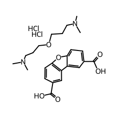 CN(C)CCCOCCCN(C)C.Cl.Cl.O=C(O)c1ccc2oc3ccc(C(=O)O)cc3c2c1